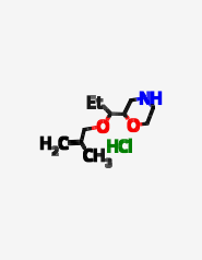 C=C(C)COC(CC)C1CNCCO1.Cl